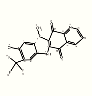 CSC1=C(Nc2ccc(Cl)c(C(F)(F)F)c2)C(=O)c2cccnc2C1=O